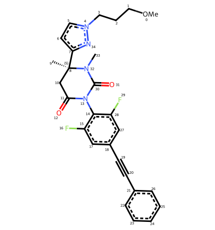 COCCCn1ccc([C@]2(C)CC(=O)N(c3c(F)cc(C#Cc4ccccc4)cc3F)C(=O)N2C)n1